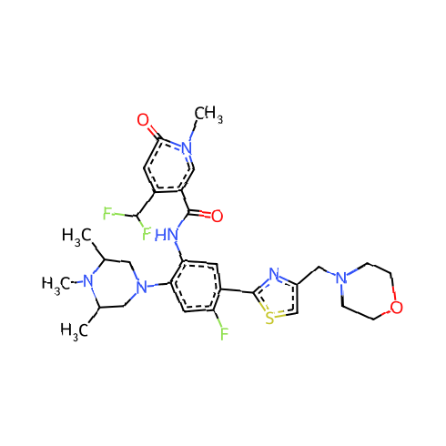 CC1CN(c2cc(F)c(-c3nc(CN4CCOCC4)cs3)cc2NC(=O)c2cn(C)c(=O)cc2C(F)F)CC(C)N1C